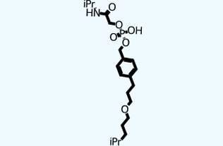 CC(C)CCCOCCCc1ccc(COP(=O)(O)OCC(=O)NC(C)C)cc1